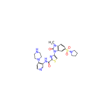 Cn1c(=O)n(-c2csc(C(=O)Nc3cnccc3N3CCNCC3)n2)c2cc(S(=O)(=O)N3CCCC3)ccc21